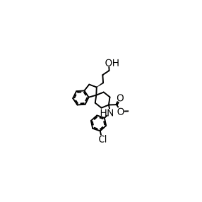 COC(=O)C1(Nc2cccc(Cl)c2)CCC2(CC1)c1ccccc1C[C@H]2CCCO